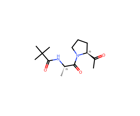 CC(=O)[C@@H]1CCCN1C(=O)[C@H](C)NC(=O)C(C)(C)C